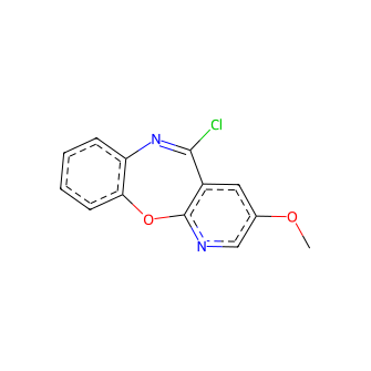 COc1cnc2c(c1)C(Cl)=Nc1ccccc1O2